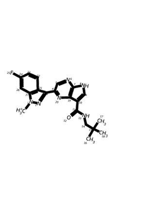 Cn1nc(-c2cnc3[nH]cc(C(=O)NCC(C)(C)C)c3n2)c2ccc(F)cc21